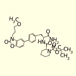 COCCCn1c(=O)oc2ccc(-c3ccc(C[C@H](NC(=O)[C@@H]4CCCCN4C(=O)OC(C)(C)C)C(N)=O)cc3)cc21